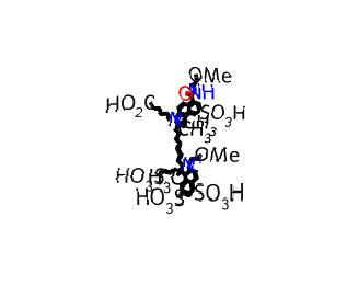 COCCNC(=O)c1cc(S(=O)(=O)O)cc2c3c(ccc12)N(CCCCCC(=O)O)/C(=C/C=C/C=C/C=C/C1=[N+](CCOC)c2ccc4c(S(=O)(=O)O)cc(S(=O)(=O)O)cc4c2C1(C)CCCS(=O)(=O)O)C3(C)C